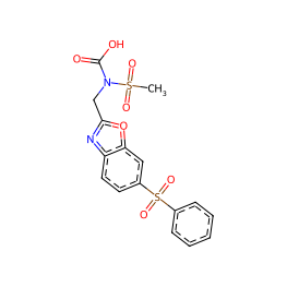 CS(=O)(=O)N(Cc1nc2ccc(S(=O)(=O)c3ccccc3)cc2o1)C(=O)O